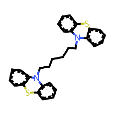 c1ccc2c(c1)Sc1ccccc1N2CCCCCCN1c2ccccc2Sc2ccccc21